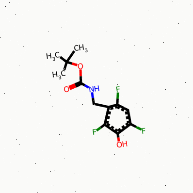 CC(C)(C)OC(=O)NCc1c(F)cc(F)c(O)c1F